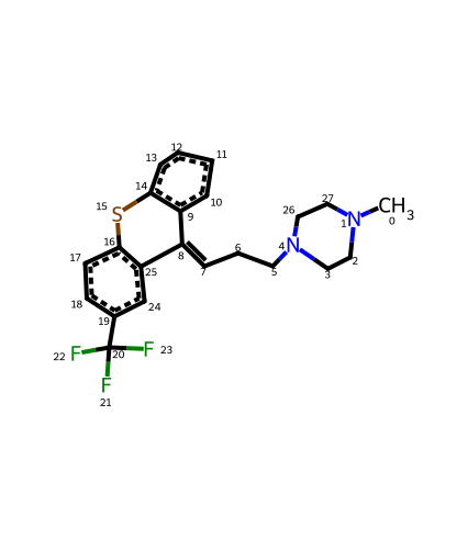 CN1CCN(CC/C=C2\c3ccccc3Sc3ccc(C(F)(F)F)cc32)CC1